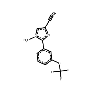 C#Cc1[c]n(C)c(-c2cccc(OC(F)(F)F)c2)n1